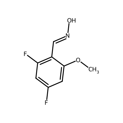 COc1cc(F)cc(F)c1C=NO